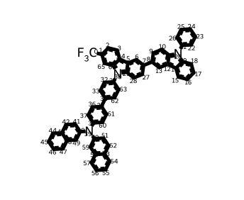 FC(F)(F)c1ccc2c3cc(-c4ccc5c(c4)c4ccccc4n5-c4ccccc4)ccc3n(-c3ccc(-c4ccc(N(c5ccc6ccccc6c5)c5ccc6ccccc6c5)cc4)cc3)c2c1